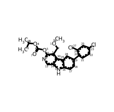 COCc1c(OC(=O)OC(C)C)ncc2[nH]c3ccc(-c4ccc(Cl)cc4Cl)cc3c12